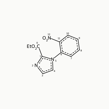 CCOC(=O)c1nccn1-c1ccccc1[N+](=O)[O-]